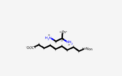 CCCCCCCCCCCCCCCCCC(=O)[O-].NC[CH](N)[Zn+]